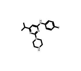 CC(C)c1cc(Nc2ccc(F)cc2)nc(N2CCNCC2)n1